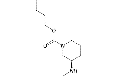 CCCCOC(=O)N1CCC[C@@H](NC)C1